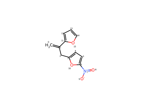 C=C(Cc1ccc([N+](=O)[O-])o1)c1ccco1